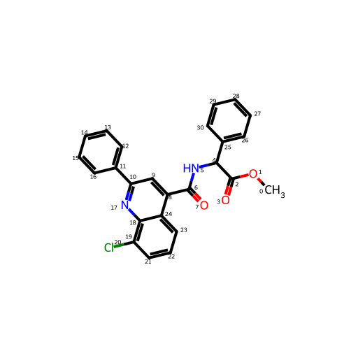 COC(=O)C(NC(=O)c1cc(-c2ccccc2)nc2c(Cl)cccc12)c1ccccc1